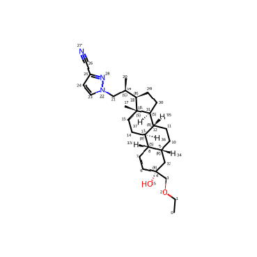 CCOC[C@@]1(O)CC[C@H]2[C@H](CC[C@@H]3[C@@H]2CC[C@]2(C)[C@@H]([C@H](C)Cn4ccc(C#N)n4)CC[C@@H]32)C1